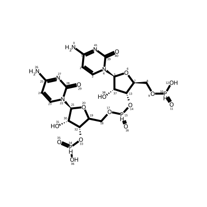 Nc1ccn([C@H]2O[C@@H](CO[PH](=O)O)[C@H](O[PH](=O)OCC3O[C@H](n4ccc(N)nc4=O)[C@@H](O)[C@H]3O[PH](=O)O)[C@@H]2O)c(=O)n1